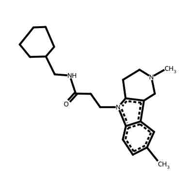 Cc1ccc2c(c1)c1c(n2CCC(=O)NCC2CCCCC2)CCN(C)C1